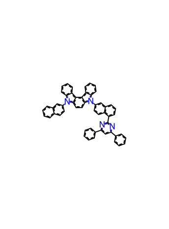 c1ccc(-c2cc(-c3ccccc3)nc(-c3cccc4cc(-n5c6ccccc6c6c7c8ccccc8n(-c8ccc9ccccc9c8)c7ccc65)ccc34)n2)cc1